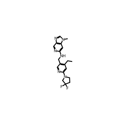 CCc1cc(N2CCC(F)(F)C2)ncc1CNc1cc2c(cn1)ncn2C